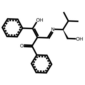 CC(C)[C@@H](CO)/N=C/C(C(=O)c1ccccc1)=C(\O)c1ccccc1